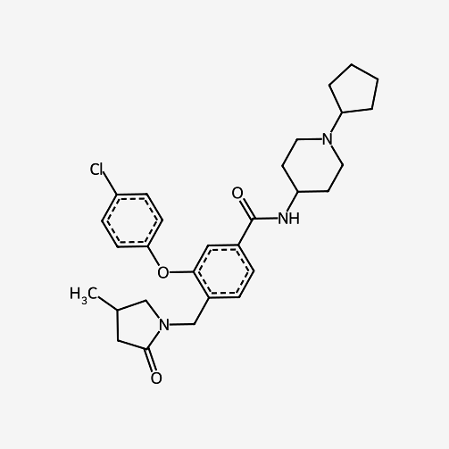 CC1CC(=O)N(Cc2ccc(C(=O)NC3CCN(C4CCCC4)CC3)cc2Oc2ccc(Cl)cc2)C1